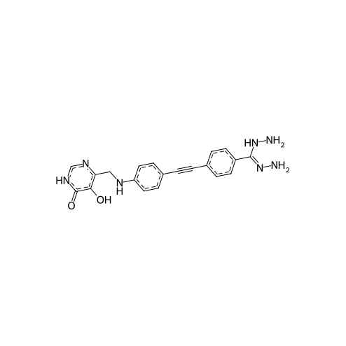 N/N=C(\NN)c1ccc(C#Cc2ccc(NCc3nc[nH]c(=O)c3O)cc2)cc1